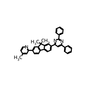 Cc1ccnc(-c2ccc3c(c2)C(C)(C)c2cc(-c4cc(-c5ccccc5)nc(-c5ccccc5)n4)ccc2-3)c1